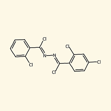 ClC(=NN=C(Cl)c1ccc(Cl)cc1Cl)c1ccccc1Cl